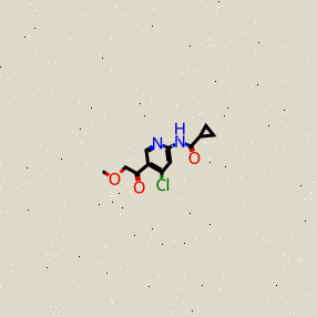 COCC(=O)c1cnc(NC(=O)C2CC2)cc1Cl